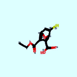 CCOC(=O)c1c(C(=O)O)c2oc1cc2S